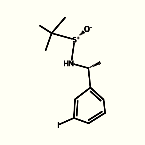 C[C@@H](N[S@@+]([O-])C(C)(C)C)c1cccc(I)c1